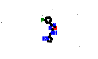 Fc1cccc(-c2noc(NCC3CCCN3)n2)c1